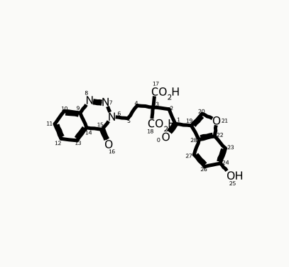 O=C(CC(CCn1nnc2ccccc2c1=O)(C(=O)O)C(=O)O)c1coc2cc(O)ccc12